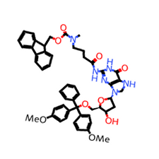 COc1ccc(C(OC[C@H]2O[C@@H](N3CNc4c3nc(NC(=O)CCCN(C)C(=O)OCC3c5ccccc5-c5ccccc53)[nH]c4=O)CC2O)(c2ccccc2)c2ccc(OC)cc2)cc1